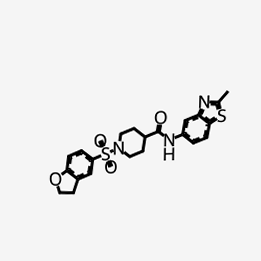 Cc1nc2cc(NC(=O)C3CCN(S(=O)(=O)c4ccc5c(c4)CCO5)CC3)ccc2s1